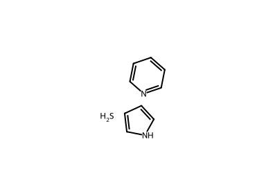 S.c1cc[nH]c1.c1ccncc1